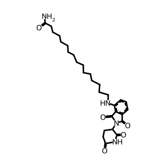 NC(=O)CCCCCCCCCCCCCCCNc1cccc2c1C(=O)N(C1CCC(=O)NC1=O)C2=O